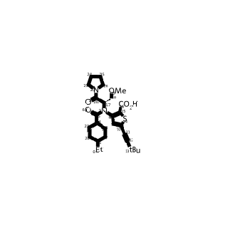 CCC1CCC(C(=O)N(c2cc(C#CC(C)(C)C)sc2C(=O)O)[C@@H](COC)C(=O)N2CCCC2)CC1